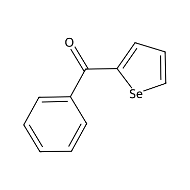 O=C(c1ccccc1)c1ccc[se]1